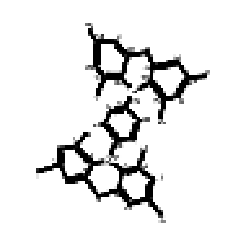 Cc1cc(C)c2c(c1)Cc1cc(C)cc(C)c1B2c1ccc(B2c3c(C)cc(C)cc3Cc3cc(C)cc(C)c32)cc1